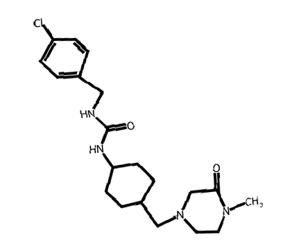 CN1CCN(CC2CCC(NC(=O)NCc3ccc(Cl)cc3)CC2)CC1=O